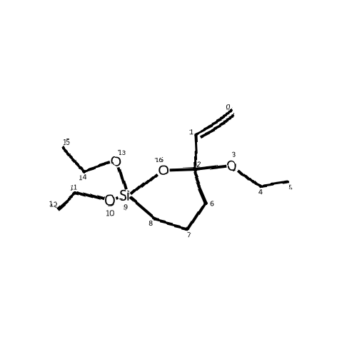 C=CC1(OCC)CCC[Si](OCC)(OCC)O1